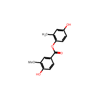 COc1cc(C(=O)Oc2ccc(O)cc2C)ccc1O